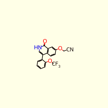 N#CCOc1ccc2c(-c3ccccc3OC(F)(F)F)c[nH]c(=O)c2c1